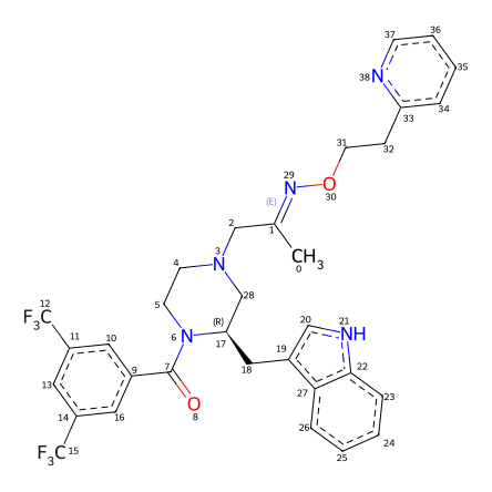 C/C(CN1CCN(C(=O)c2cc(C(F)(F)F)cc(C(F)(F)F)c2)[C@H](Cc2c[nH]c3ccccc23)C1)=N\OCCc1ccccn1